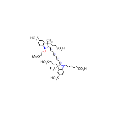 COCCO[N+]1=C(/C=C/C=C/C=C/C=C2/N(CCCCCC(=O)O)c3ccc(S(=O)(=O)O)cc3C2(C)CCCS(=O)(=O)O)C(C)(CCCS(=O)(=O)O)c2cc(S(=O)(=O)O)ccc21